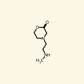 CNCCN1CCOC(=O)C1